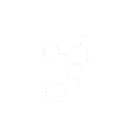 CN1CCCN(c2nc3c(cc2F)C(=O)CC(C=O)=C2Sc4ccccc4N23)CC1